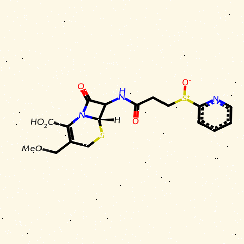 COCC1=C(C(=O)O)N2C(=O)C(NC(=O)CC[S+]([O-])c3ccccn3)[C@@H]2SC1